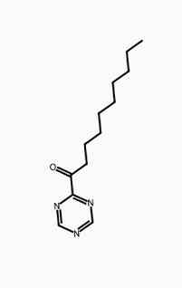 CCCCCCCCCC(=O)c1ncncn1